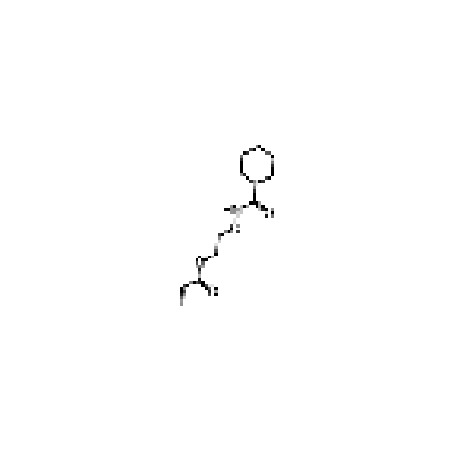 C=CC(=O)OCCONC(=O)C1CCCCC1